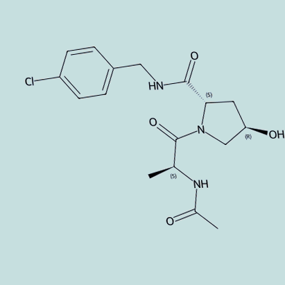 CC(=O)N[C@@H](C)C(=O)N1C[C@H](O)C[C@H]1C(=O)NCc1ccc(Cl)cc1